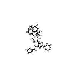 O=C1C[C@@H](C(F)(F)F)c2c(ncnc2N2CCC(c3nc(C4CCOCC4)cn3CCN3CCCC3)CC2)N1